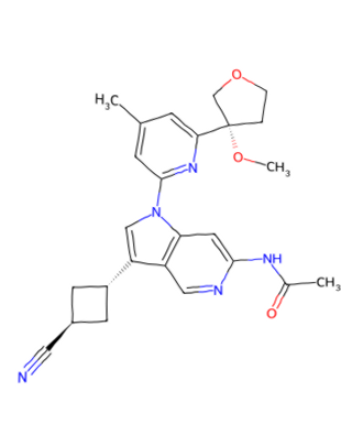 CO[C@@]1(c2cc(C)cc(-n3cc([C@H]4C[C@H](C#N)C4)c4cnc(NC(C)=O)cc43)n2)CCOC1